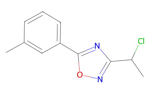 Cc1cccc(-c2nc(C(C)Cl)no2)c1